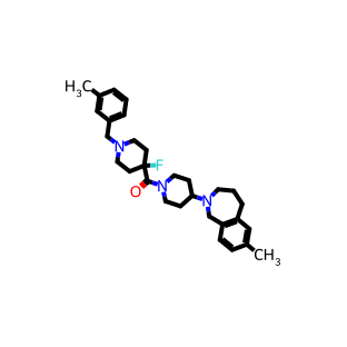 Cc1cccc(CN2CCC(F)(C(=O)N3CCC(N4CCCc5cc(C)ccc5C4)CC3)CC2)c1